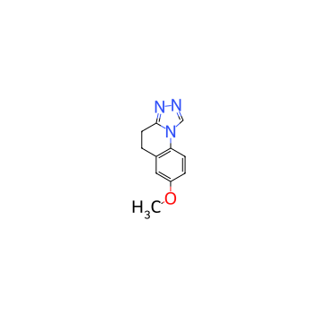 COc1ccc2c(c1)CCc1nncn1-2